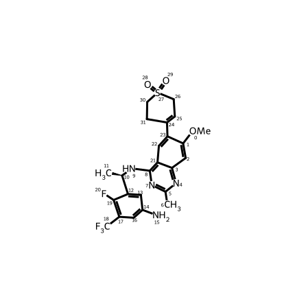 COc1cc2nc(C)nc(N[C@H](C)c3cc(N)cc(C(F)(F)F)c3F)c2cc1C1=CCS(=O)(=O)CC1